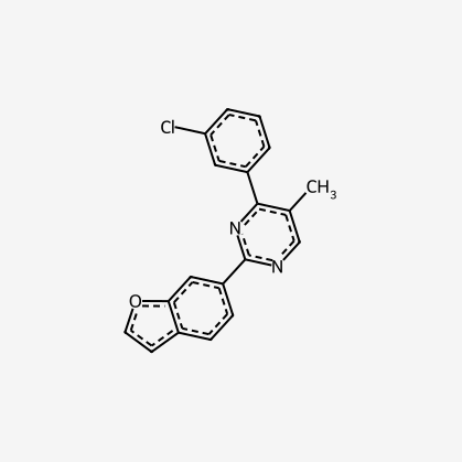 Cc1cnc(-c2ccc3ccoc3c2)nc1-c1cccc(Cl)c1